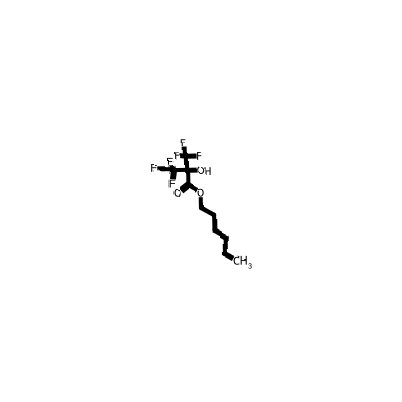 CCCCCCOC(=O)C(O)(C(F)(F)F)C(F)(F)F